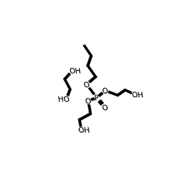 CCCCOP(=O)(OCCO)OCCO.OCCO